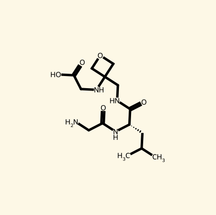 CC(C)C[C@H](NC(=O)CN)C(=O)NCC1(NCC(=O)O)COC1